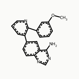 COc1cccc(-c2ncccc2-c2ccc3ncnc(N)c3c2)c1